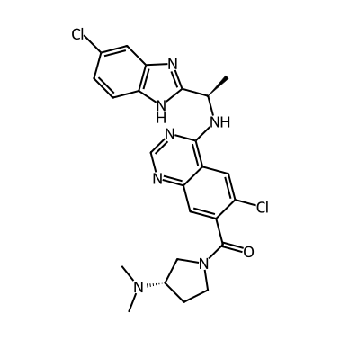 C[C@@H](Nc1ncnc2cc(C(=O)N3CC[C@H](N(C)C)C3)c(Cl)cc12)c1nc2cc(Cl)ccc2[nH]1